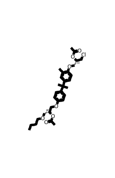 CCCCOC[C@H](COc1ccc(C(C)(C)c2ccc(OC[C@@H](CCl)OC(C)=O)c(C)c2)cc1)OC(C)=O